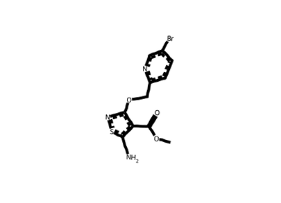 COC(=O)c1c(OCc2ccc(Br)cn2)nsc1N